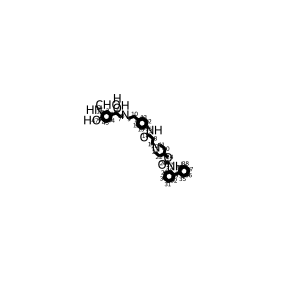 O=CNc1cc([C@H](O)CNCCc2ccc(NC(=O)CCN3CCC(OC(=O)Nc4ccccc4-c4ccccc4)CC3)cc2)ccc1O